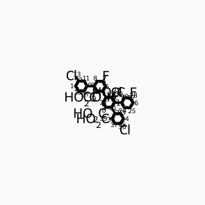 O=C(O)c1[c]c(-c2cc(F)cc(-c3cc(Cl)ccc3C(=O)O)c2C(=O)O)c(Cl)c(-c2cccc(F)c2C(=O)O)c1-c1ccc(Cl)cc1C(=O)O